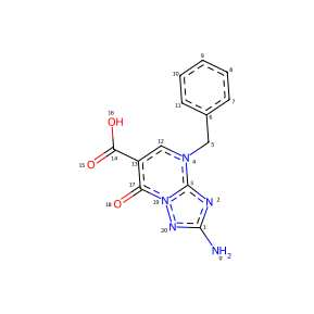 Nc1nc2n(Cc3ccccc3)cc(C(=O)O)c(=O)n2n1